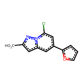 O=C(O)c1cc2cc(-c3ccco3)cc(Cl)n2n1